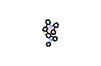 c1ccc(-n2c3ccccc3c3cc4c(cc32)sc2ccc3c(c24)B2c4ccccc4-c4ccccc4N2c2ccccc2-3)cc1